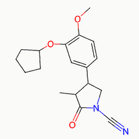 COc1ccc(C2CN(C#N)C(=O)C2C)cc1OC1CCCC1